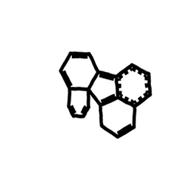 C1=CC2=CC=CC3=c4cccc5c4=C(CC=C5)C23C=C1